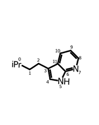 CC(C)CCc1c[nH]c2ncccc12